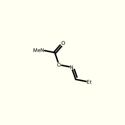 CC/C=N/OC(=O)NC